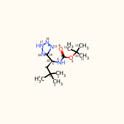 CC(C)(C)C[C@H](NC(=O)OC(C)(C)C)c1nn[nH]n1